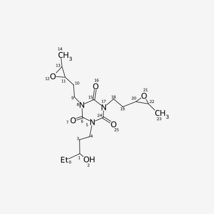 CCC(O)CCn1c(=O)n(CCC2OC2C)c(=O)n(CCC2OC2C)c1=O